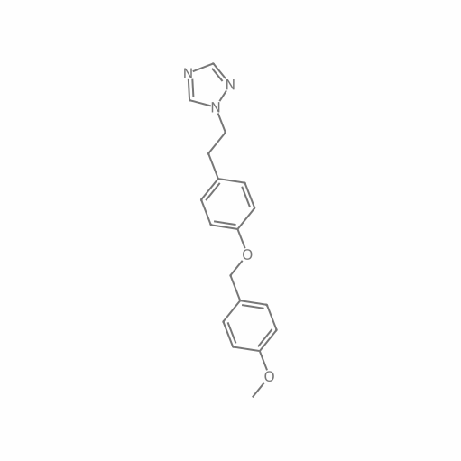 COc1ccc(COc2ccc(CCn3cncn3)cc2)cc1